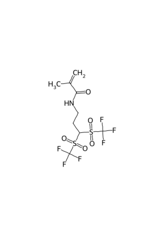 C=C(C)C(=O)NCCC(S(=O)(=O)C(F)(F)F)S(=O)(=O)C(F)(F)F